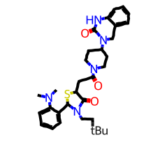 CN(C)c1ccccc1C1SC(CC(=O)N2CCC(N3Cc4ccccc4NC3=O)CC2)C(=O)N1CCC(C)(C)C